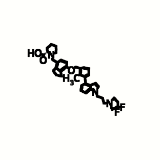 Cc1c(COc2ccc(CN3CCCC[C@H]3C(=O)O)c3c2CCC3)cccc1-c1cccc2c1ccn2CCCN1CCC(F)(F)C1